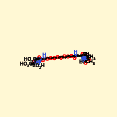 CCNC(=O)C(C)NC(=O)C(C)NC(=O)C(C)NC(=O)CCCCCNC(=O)CCOCCOCCOCCOCCOCCOCCOCCOCCNC(=O)CNC(=O)CCC(NC(=O)NC(CCC(=O)O)C(=O)O)C(=O)O